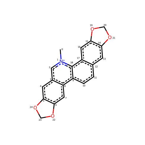 C[n+]1cc2cc3c(cc2c2ccc4cc5c(cc4c21)OCO5)OCO3